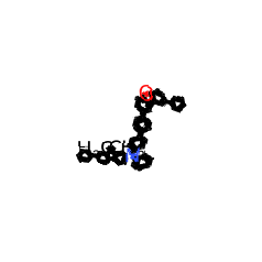 CC1(C)c2cc(C3=CCCC=C3)ccc2-c2ccc(N(c3ccccc3)c3ccc(-c4ccc(-c5ccc6oc7ccc(-c8ccccc8)cc7c6c5)cc4)cc3)cc21